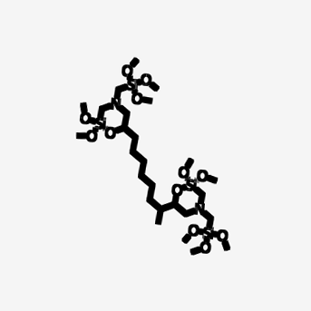 CO[Si](CN1CC(CCCCCCC(C)C2CN(C[Si](OC)(OC)OC)C[Si](OC)(OC)O2)O[Si](OC)(OC)C1)(OC)OC